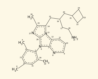 Cc1cc(C)c(-n2c3ncccc3n3c(CC(CCN)CC4CCC4)c(C)nc23)c(C)c1